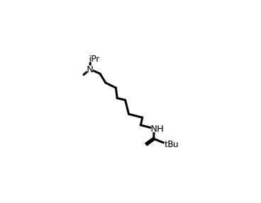 C=C(NCCCCCCCCN(C)C(C)C)C(C)(C)C